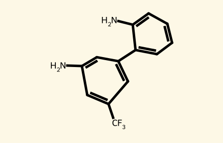 Nc1cc(-c2ccccc2N)cc(C(F)(F)F)c1